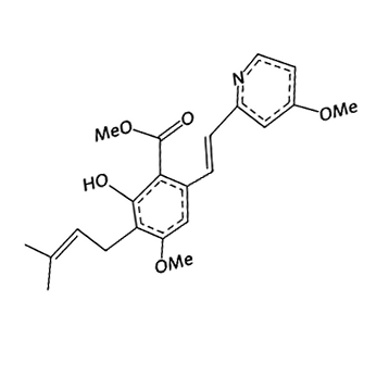 COC(=O)c1c(/C=C/c2cc(OC)ccn2)cc(OC)c(CC=C(C)C)c1O